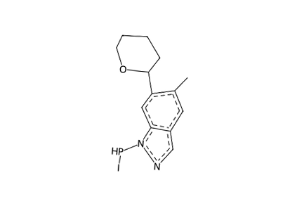 Cc1cc2cnn(PI)c2cc1C1CCCCO1